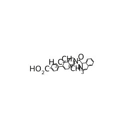 CC1(C)C(c2ccc(C(=O)O)cc2)=CC[C@]2(C)CN(C(=O)c3nccc4ccccc34)CC=C12